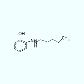 CCCCCNNc1ccccc1O